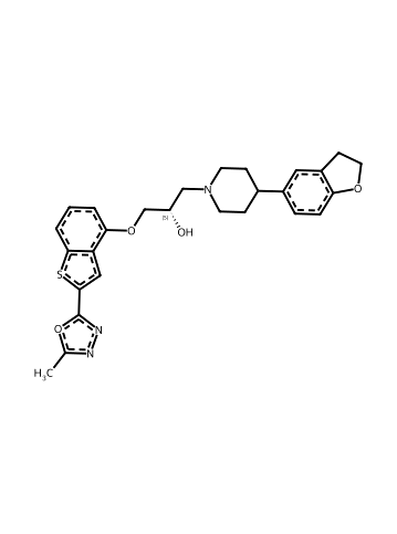 Cc1nnc(-c2cc3c(OC[C@@H](O)CN4CCC(c5ccc6c(c5)CCO6)CC4)cccc3s2)o1